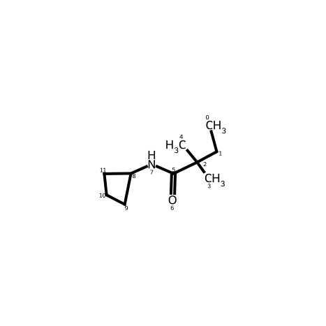 CCC(C)(C)C(=O)NC1CCC1